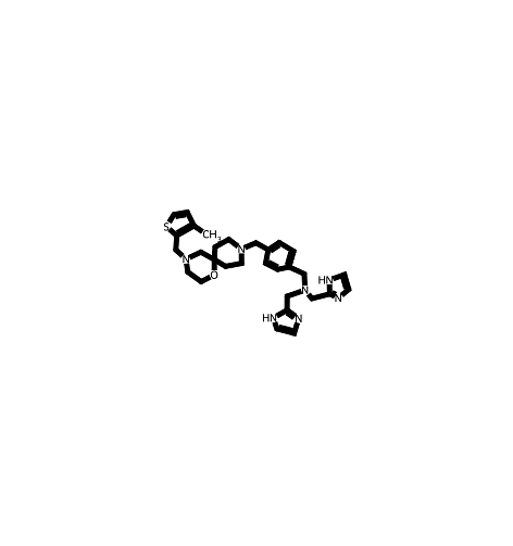 Cc1ccsc1CN1CCOC2(CCN(Cc3ccc(CN(Cc4ncc[nH]4)Cc4ncc[nH]4)cc3)CC2)C1